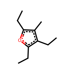 CCc1oc(CC)c(CC)c1C